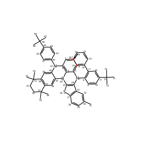 Cc1cc2c3c(c1)N(c1ccc(C(C)(C)C)cc1-c1ccccc1)c1c(sc4ccc(C)cc14)B3c1cc3c(cc1N2c1ccc(C(C)(C)C)cc1)C(C)(C)CCC3(C)C